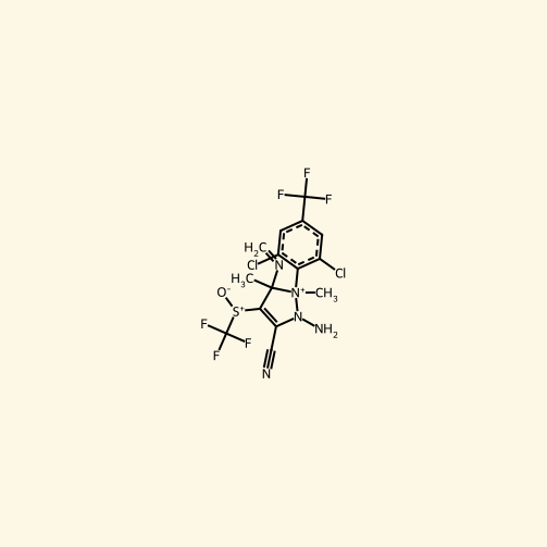 C=NC1(C)C([S+]([O-])C(F)(F)F)=C(C#N)N(N)[N+]1(C)c1c(Cl)cc(C(F)(F)F)cc1Cl